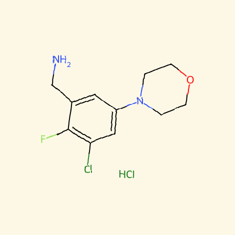 Cl.NCc1cc(N2CCOCC2)cc(Cl)c1F